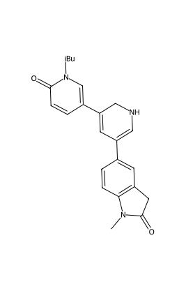 CCC(C)n1cc(C2=CC(c3ccc4c(c3)CC(=O)N4C)=CNC2)ccc1=O